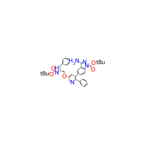 CC(C)(C)OC(=O)N[C@H](COc1cnc(-c2ccccc2)c(-c2ccc3c(c2)c(N)nn3C(=O)OC(C)(C)C)c1)Cc1ccccc1